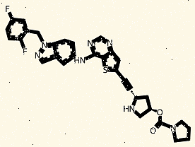 O=C(O[C@H]1CN[C@H](C#Cc2cc3ncnc(Nc4ccc5c(cnn5Cc5cc(F)ccc5F)c4)c3s2)C1)N1CCCC1